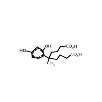 CC(CCCC(=O)O)(CCCC(=O)O)c1ccc(O)cc1O